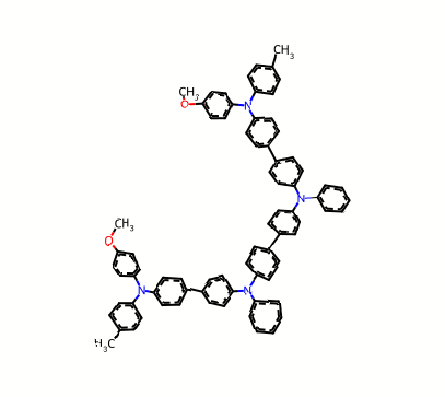 COc1ccc(N(c2ccc(C)cc2)c2ccc(-c3ccc(N(c4ccccc4)c4ccc(-c5ccc(N(c6ccccc6)c6ccc(-c7ccc(N(c8ccc(C)cc8)c8ccc(OC)cc8)cc7)cc6)cc5)cc4)cc3)cc2)cc1